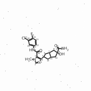 Cn1cnc(C2CC3CC(O)(C(N)=O)CC3C2)c1C(=O)Nc1ccc(F)c(Cl)c1